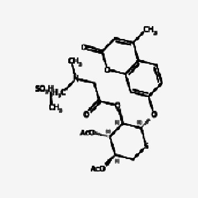 CC(=O)O[C@@H]1[C@@H](OC(=O)CN(C)C)[C@H](Oc2ccc3c(C)cc(=O)oc3c2)SC[C@H]1OC(C)=O.CS(=O)(=O)O